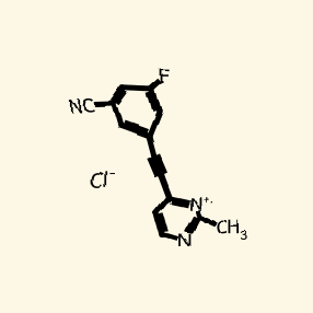 CC1=NC=CC(C#Cc2cc(F)cc(C#N)c2)=[N+]1.[Cl-]